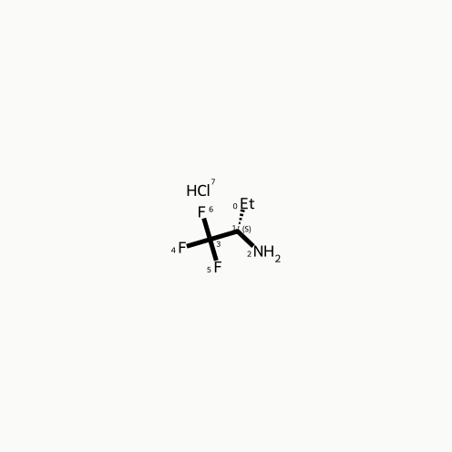 CC[C@H](N)C(F)(F)F.Cl